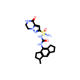 CC1CCc2c1cc1c(c2NC(=O)N[SH](N)(=O)c2cc3n(n2)CCNC3=O)CCC1